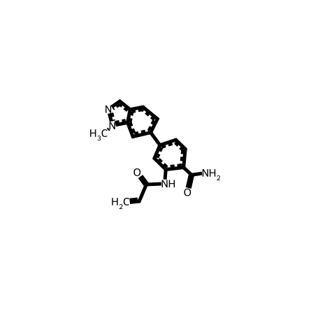 C=CC(=O)Nc1cc(-c2ccc3cnn(C)c3c2)ccc1C(N)=O